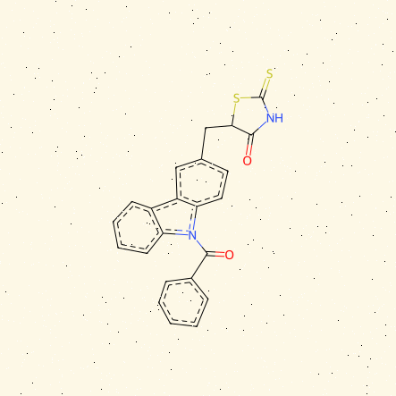 O=C1NC(=S)SC1Cc1ccc2c(c1)c1ccccc1n2C(=O)c1ccccc1